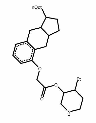 CCCCCCCCC1CCC2Cc3c(cccc3OCC(=O)OC3CNCCC3CC)CC12